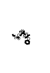 CCCN(C)C(=O)OCc1c(-c2ncc(OC3CCCCC3)c(C)n2)cnn1C